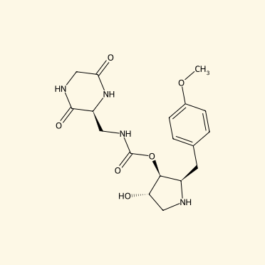 COc1ccc(C[C@H]2NC[C@H](O)[C@H]2OC(=O)NC[C@@H]2NC(=O)CNC2=O)cc1